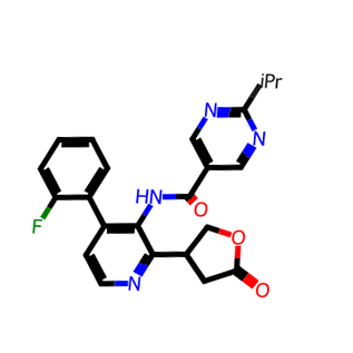 CC(C)c1ncc(C(=O)Nc2c(-c3ccccc3F)ccnc2C2COC(=O)C2)cn1